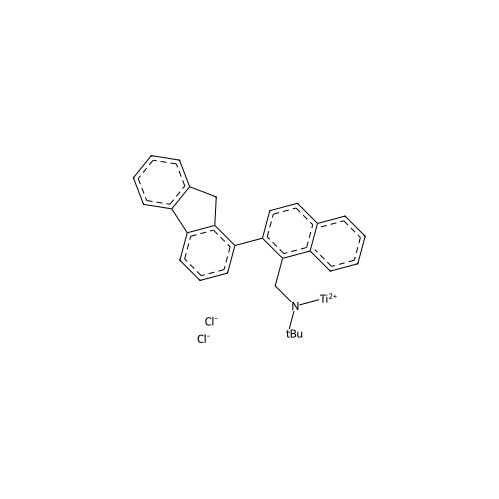 CC(C)(C)[N]([Ti+2])Cc1c(-c2cccc3c2Cc2ccccc2-3)ccc2ccccc12.[Cl-].[Cl-]